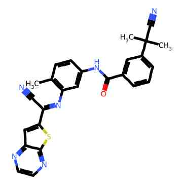 Cc1ccc(NC(=O)c2cccc(C(C)(C)C#N)c2)cc1/N=C(\C#N)c1cc2nccnc2s1